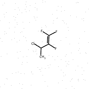 CC(Cl)C(F)=C(F)F